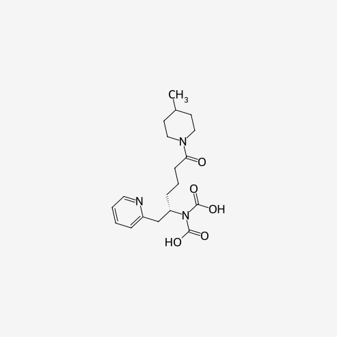 CC1CCN(C(=O)CCC[C@@H](Cc2ccccn2)N(C(=O)O)C(=O)O)CC1